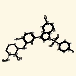 CO[C@@H]1CCCC(Nc2nc(-c3cn(S(=O)(=O)c4ccc(C)cc4)c4ncc(Cl)cc34)ncc2F)[C@H]1O